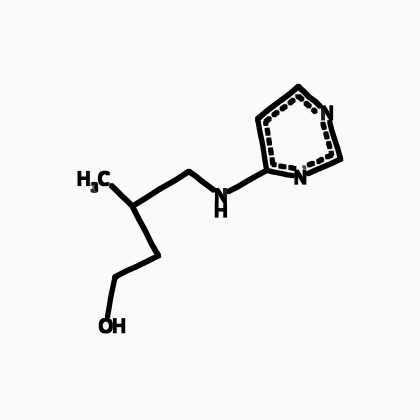 CC(CCO)CNc1ccncn1